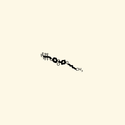 CCCCCCCCOc1ccc(C(=O)Oc2ccc(OCC(F)(F)C(F)(F)C(F)(F)F)cc2)cc1